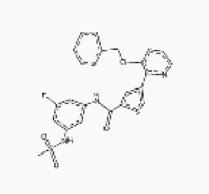 CS(=O)(=O)Nc1cc(F)cc(NC(=O)c2cc(-c3ncccc3OCc3ccccc3)cs2)c1